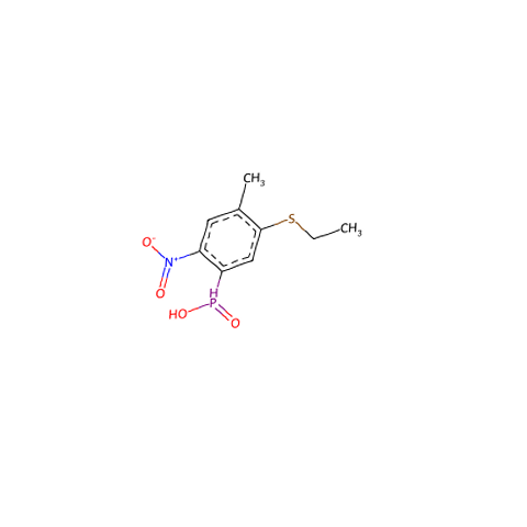 CCSc1cc([PH](=O)O)c([N+](=O)[O-])cc1C